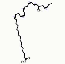 CC/C=C\CC(O)/C=C/C=C\C/C=C\C/C=C\C/C=C\CCCCCCCCCCCCCCC(=O)O